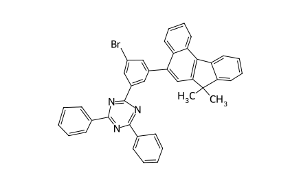 CC1(C)c2ccccc2-c2c1cc(-c1cc(Br)cc(-c3nc(-c4ccccc4)nc(-c4ccccc4)n3)c1)c1ccccc21